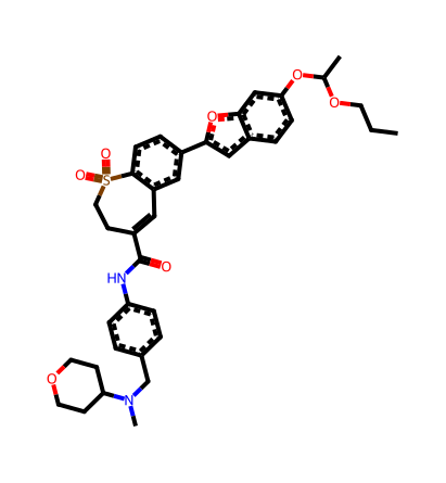 CCCOC(C)Oc1ccc2cc(-c3ccc4c(c3)C=C(C(=O)Nc3ccc(CN(C)C5CCOCC5)cc3)CCS4(=O)=O)oc2c1